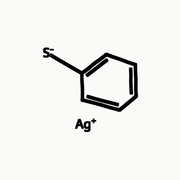 [Ag+].[S-]c1ccccc1